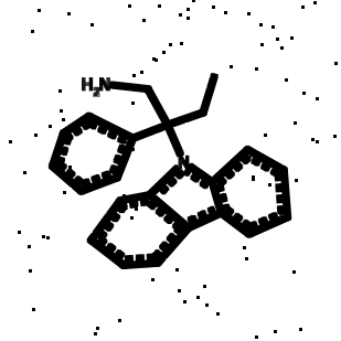 CCC(CN)(c1ccccc1)n1c2ccccc2c2ccccc21